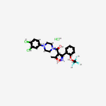 Cc1onc(-c2ccccc2OC(F)(F)F)c1C(=O)N1CCN(c2ccc(Cl)c(Cl)c2)CC1.Cl